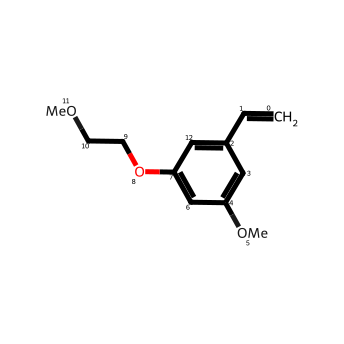 C=Cc1cc(OC)cc(OCCOC)c1